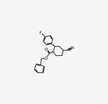 N#CC1CCN(C(=O)OCc2ccccc2)C(c2ccc(F)cc2)C1